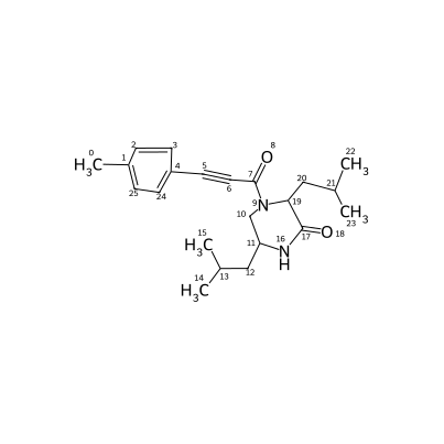 Cc1ccc(C#CC(=O)N2CC(CC(C)C)NC(=O)C2CC(C)C)cc1